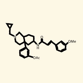 COc1cccc(/C=C/C(=O)NC2CCC3CN(CC4CC4)CCC3(c3cccc(OC(C)=O)c3)C2)c1